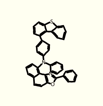 c1ccc(-c2nc3c(ccc4cccc(N(c5ccccc5)c5ccc(-c6cccc7sc8ccccc8c67)cc5)c43)o2)cc1